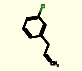 C=CCc1[c]ccc(Cl)c1